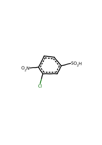 O=[N+]([O-])c1ccc(S(=O)(=O)O)cc1Cl